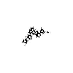 COc1cc(F)cc(-c2cncc3[nH]c(C4=NCCc5ccc(-c6cncc(OC7CCNCC7)c6)cc54)cc23)c1